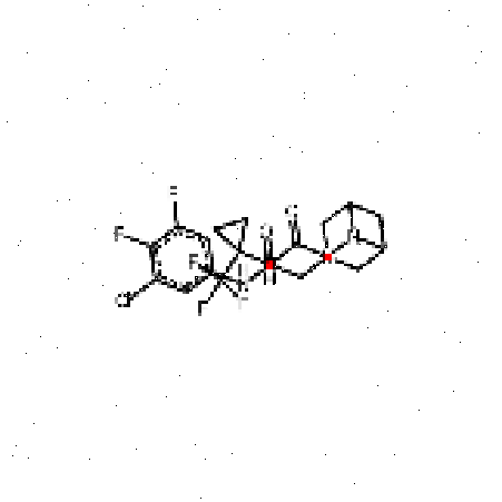 O=C(CN1CC2CC(C1)N2CC(=O)NC1(C(F)(F)F)CC1)Nc1cc(F)c(F)c(Cl)c1